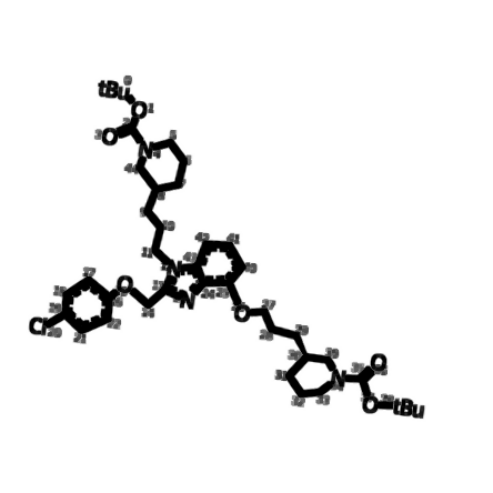 CC(C)(C)OC(=O)N1CCCC(CCCn2c(COc3ccc(Cl)cc3)nc3c(OCCC[C@@H]4CCCN(C(=O)OC(C)(C)C)C4)cccc32)C1